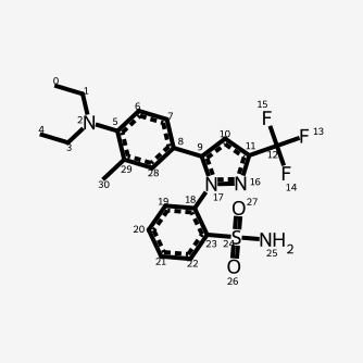 CCN(CC)c1ccc(-c2cc(C(F)(F)F)nn2-c2ccccc2S(N)(=O)=O)cc1C